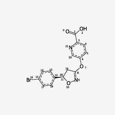 O=C(O)c1ccc(OC2=NO[C@@H](c3ccc(Br)cc3)C2)cn1